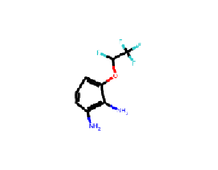 Nc1cccc(OC(F)C(F)(F)F)c1N